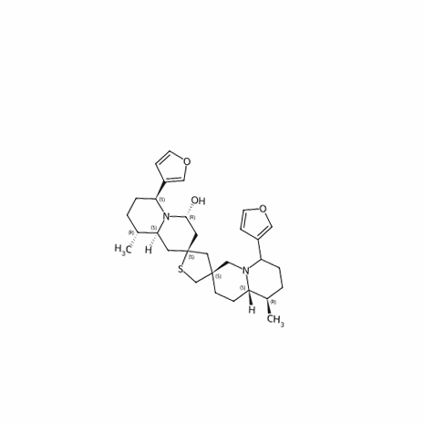 C[C@@H]1CCC(c2ccoc2)N2C[C@@]3(CC[C@@H]12)CS[C@@]1(C[C@@H](O)N2[C@H](c4ccoc4)CC[C@@H](C)[C@@H]2C1)C3